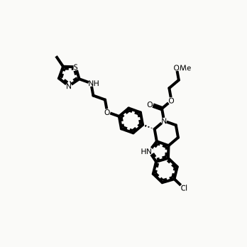 COCCOC(=O)N1CCc2c([nH]c3ccc(Cl)cc23)[C@@H]1c1ccc(OCCNc2ncc(C)s2)cc1